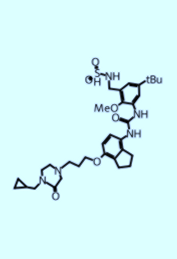 COc1c(CN[SH](=O)=O)cc(C(C)(C)C)cc1NC(=O)Nc1ccc(OCCCN2CCN(CC3CC3)C(=O)C2)c2c1CCC2